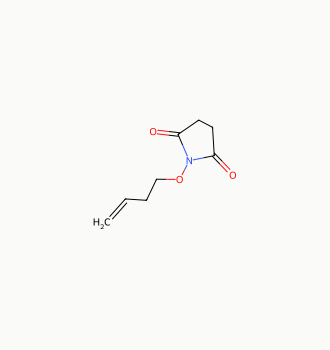 C=CCCON1C(=O)CCC1=O